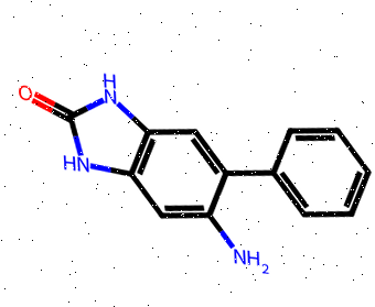 Nc1cc2[nH]c(=O)[nH]c2cc1-c1ccccc1